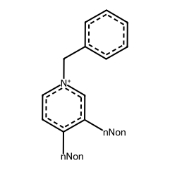 CCCCCCCCCc1cc[n+](Cc2ccccc2)cc1CCCCCCCCC